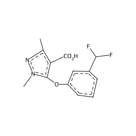 Cc1nn(C)c(Oc2cccc(C(F)F)c2)c1C(=O)O